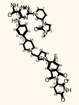 CN1CCN([C@@H]2CCCN(c3nnc(C(N)=O)c(Nc4ccc(C5CCN(CC6CCN(c7cc8c(cc7F)C(=O)N(C7CCC(=O)NC7=O)C8=O)C6)CC5)cc4)n3)C2)C1=O